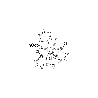 CCCCCCCCc1ccccc1P(=O)(C(=O)c1c(Cl)cccc1Cl)C(=O)c1c(Cl)cccc1Cl